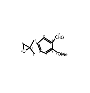 CC1(C)CO1.COc1ccccc1C=O